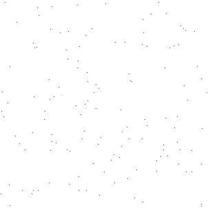 O=C(O)Cc1ccccc1CN1C=CCC=C1